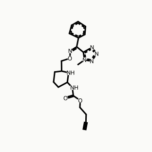 C#CCCOC(=O)NC1CCCC(CON=C(c2ccccc2)c2nnnn2C)N1